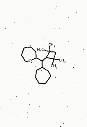 CC1(C)CC(C)(C)C1C(C1CCCCCC1)C1CCCCCC1